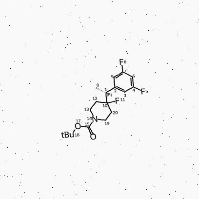 C[C@H](c1cc(F)cc(F)c1)C1(F)CCN(C(=O)OC(C)(C)C)CC1